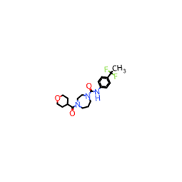 CC(F)(F)c1ccc(NC(=O)N2CCCN(C(=O)C3CCOCC3)CC2)cc1